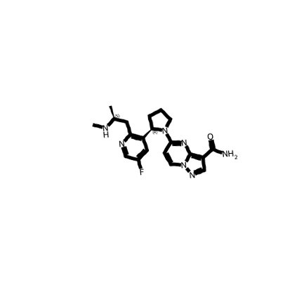 CN[C@@H](C)Cc1ncc(F)cc1[C@H]1CCCN1c1ccn2ncc(C(N)=O)c2n1